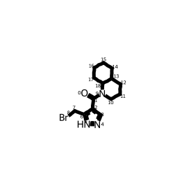 O=C(c1cn[nH]c1CBr)N1CCCC2CCCCC21